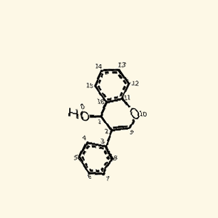 OC1C(c2ccccc2)=COc2ccccc21